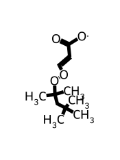 CC(C)(C)CC(C)(C)OOC=CC([O])=O